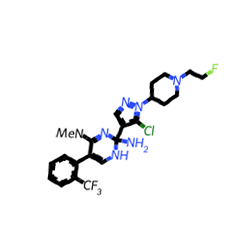 CNC1=NC(N)(c2cnn(C3CCN(CCF)CC3)c2Cl)NC=C1c1ccccc1C(F)(F)F